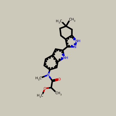 COC(C)C(=O)N(C)c1ccc2cc(-c3n[nH]c4c3CCC(C)(C)C4)[nH]c2c1